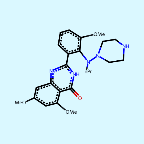 CCCN(c1c(OC)cccc1-c1nc2cc(OC)cc(OC)c2c(=O)[nH]1)N1CCNCC1